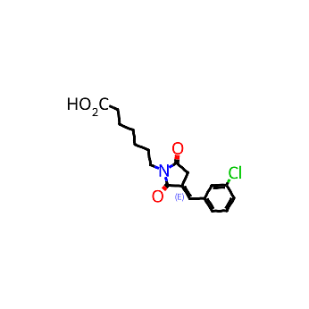 O=C(O)CCCCCCN1C(=O)C/C(=C\c2cccc(Cl)c2)C1=O